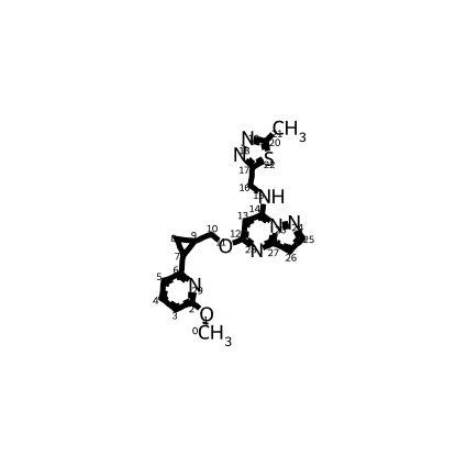 COc1cccc(C2CC2COc2cc(NCc3nnc(C)s3)n3nccc3n2)n1